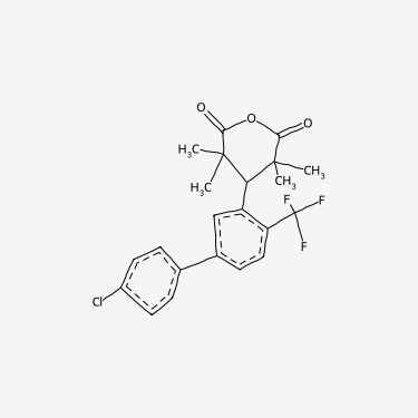 CC1(C)C(=O)OC(=O)C(C)(C)C1c1cc(-c2ccc(Cl)cc2)ccc1C(F)(F)F